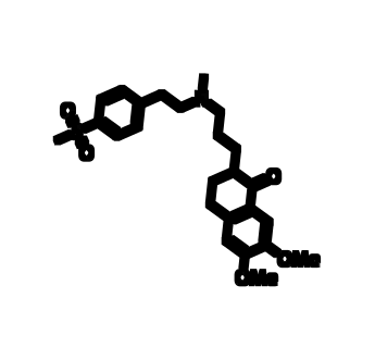 COc1cc2c(cc1OC)C(=O)C(CCCN(C)CCc1ccc(S(C)(=O)=O)cc1)CC2